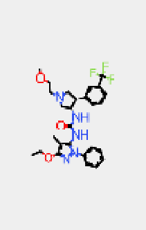 CCOc1nn(-c2ccccc2)c(NC(=O)N[C@@H]2CN(CCOC)C[C@H]2c2cccc(C(F)(F)F)c2)c1C